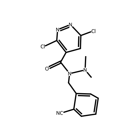 CN(C)N(Cc1ccccc1C#N)C(=O)c1cc(Cl)nnc1Cl